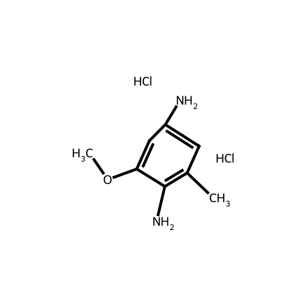 COc1cc(N)cc(C)c1N.Cl.Cl